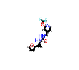 O=C(NCc1ccnc(OC(F)F)c1)NC1CC1C1CCCO1